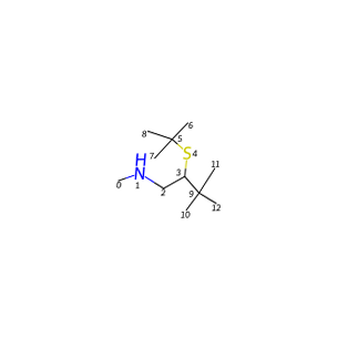 CNCC(SC(C)(C)C)C(C)(C)C